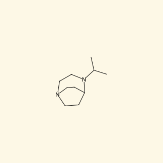 CC(C)N1CCN2CCC1CC2